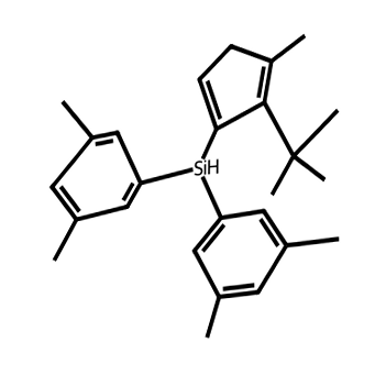 CC1=C(C(C)(C)C)C([SiH](c2cc(C)cc(C)c2)c2cc(C)cc(C)c2)=CC1